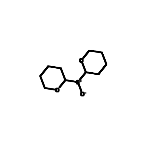 [O-][S+](C1CCCCO1)C1CCCCO1